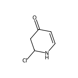 O=C1C=CN[C](Cl)C1